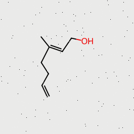 C=CCCC(C)=CCO